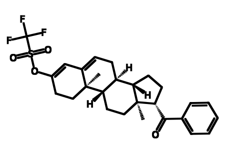 C[C@]12CC[C@H]3[C@@H](CC=C4C=C(OS(=O)(=O)C(F)(F)F)CC[C@@]43C)[C@@H]1CC[C@@H]2C(=O)c1ccccc1